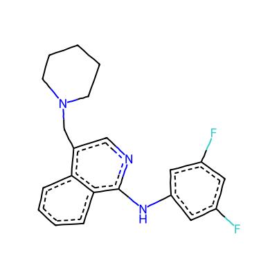 Fc1cc(F)cc(Nc2ncc(CN3CCCCC3)c3ccccc23)c1